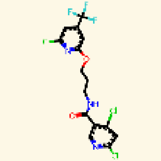 O=C(NCCCOc1cc(C(F)(F)F)cc(Cl)n1)c1cnc(Cl)cc1Cl